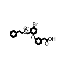 O=C(O)Cc1cccc(Oc2ccc(Br)cc2C[S+]([O-])CCc2ccccc2)c1